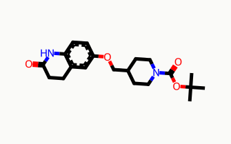 CC(C)(C)OC(=O)N1CCC(COc2ccc3c(c2)CCC(=O)N3)CC1